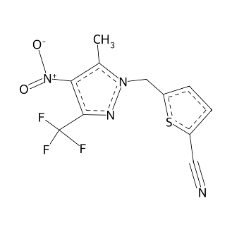 Cc1c([N+](=O)[O-])c(C(F)(F)F)nn1Cc1ccc(C#N)s1